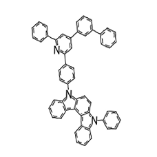 c1ccc(-c2cccc(-c3cc(-c4ccccc4)nc(-c4ccc(-n5c6ccccc6c6c7c8ccccc8n(-c8ccccc8)c7ccc65)cc4)c3)c2)cc1